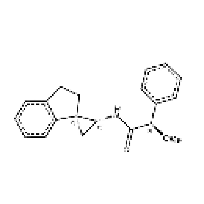 CO[C@@H](C(=O)N[C@@H]1C[C@]12CCc1ccccc12)c1ccccc1